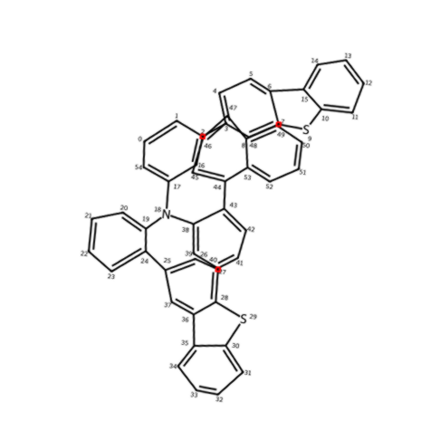 c1cc(-c2ccc3c(c2)sc2ccccc23)cc(N(c2ccccc2-c2ccc3sc4ccccc4c3c2)c2ccccc2-c2cccc3ccccc23)c1